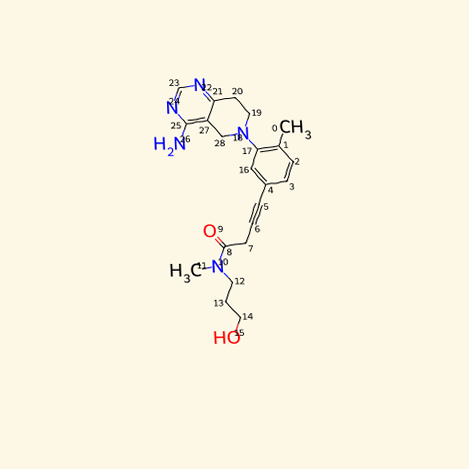 Cc1ccc(C#CCC(=O)N(C)CCCO)cc1N1CCc2ncnc(N)c2C1